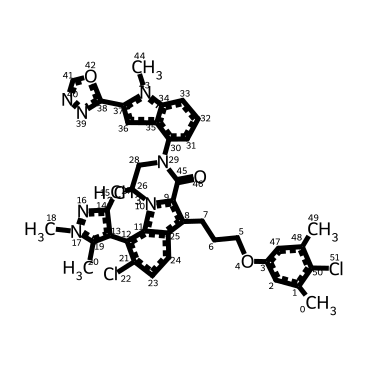 Cc1cc(OCCCc2c3n(c4c(-c5c(C)nn(C)c5C)c(Cl)ccc24)C(C)CN(c2cccc4c2cc(-c2nnco2)n4C)C3=O)cc(C)c1Cl